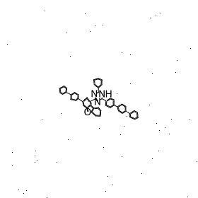 c1ccc(C2=NC(c3cc(-c4ccc(-c5ccccc5)cc4)cc4oc5ccccc5c34)=NC(c3ccc(-c4ccc(-c5ccccc5)cc4)cc3)N2)cc1